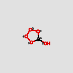 OB1OOOO1